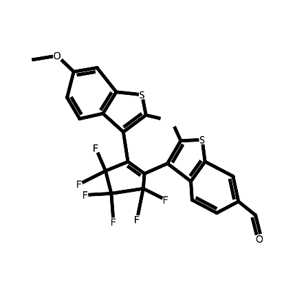 COc1ccc2c(C3=C(c4c(C)sc5cc(C=O)ccc45)C(F)(F)C(F)(F)C3(F)F)c(C)sc2c1